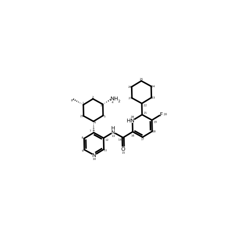 C[C@@H]1C[C@H](N)C[C@H](c2ccncc2NC(=O)C2=CC=C(F)C(C3CCCCC3)N2)C1